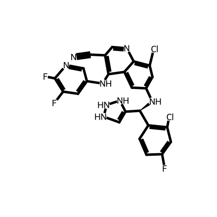 N#Cc1cnc2c(Cl)cc(N[C@H](C3=CNNN3)c3ccc(F)cc3Cl)cc2c1Nc1cnc(F)c(F)c1